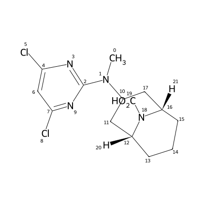 CN(c1nc(Cl)cc(Cl)n1)C1C[C@H]2CCC[C@@H](C1)N2C(=O)O